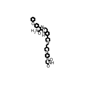 NC(=O)c1c(-c2ccc(Oc3ccccc3)cc2)nn2c1Nc1cc(C3CCN(CCC4CCN(c5ccc(N6CCC(=O)NC6=O)cc5)CC4)CC3)ccc1CC2